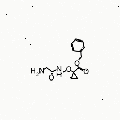 NCC(=O)NCOC1(C(=O)OCc2ccccc2)CC1